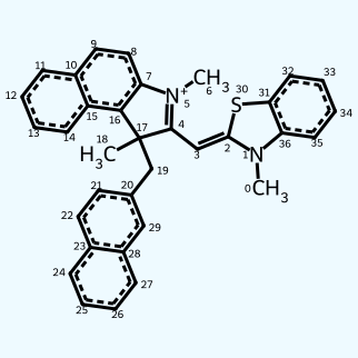 CN1/C(=C/C2=[N+](C)c3ccc4ccccc4c3C2(C)Cc2ccc3ccccc3c2)Sc2ccccc21